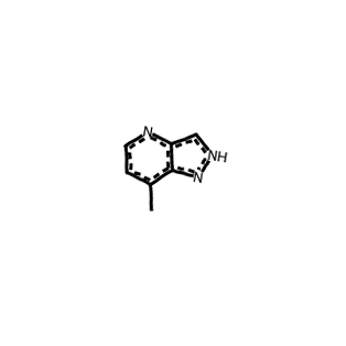 Cc1ccnc2c[nH]nc12